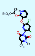 CCOC(=O)C(C)Oc1ncccc1Oc1nc(-n2c(=O)cc(C(F)(F)F)n(CC)c2=O)c(F)cc1Cl